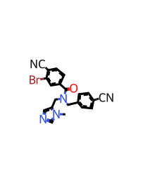 Cn1cncc1CN(Cc1ccc(C#N)cc1)C(=O)c1ccc(C#N)c(Br)c1